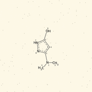 CN(C)c1cc(O)[nH]n1